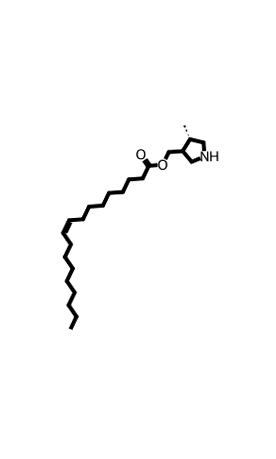 CCCCCCCC/C=C\CCCCCCCC(=O)OCC1CNC[C@H]1C